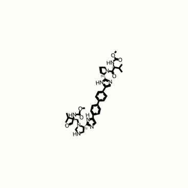 COC(=O)N[C@H](C(=O)N1CC=C[C@H]1c1ncc(-c2ccc(-c3ccc(-c4cnc([C@@H]5CNCN5C[C@](C=O)(NC(=O)OC)C(C)C)[nH]4)cc3)cc2)[nH]1)C(C)C